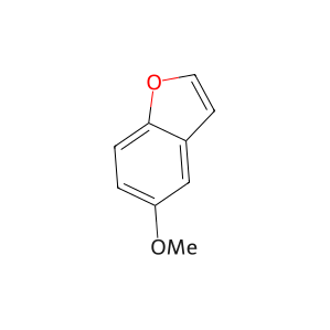 [CH]Oc1ccc2occc2c1